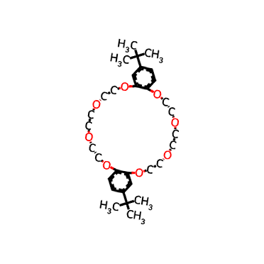 CC(C)(C)c1ccc2c(c1)OCCOCCOCCOc1ccc(C(C)(C)C)cc1OCCOCCOCCO2